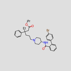 CCC(CCCN1CCC(NC(=O)c2ccccc2-c2ccc(Br)cc2)CC1)(CC(=O)OC(C)C)c1ccccc1